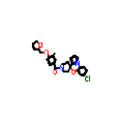 Cc1cc(C(=O)N2CCC3(CC2)Oc2cc(Cl)ccc2-n2cccc23)ccc1OCC1CCCO1